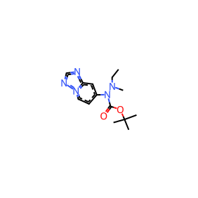 CCN(C)N(C(=O)OC(C)(C)C)c1ccn2ncnc2c1